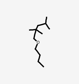 CCCCOCC(C)(C)CC(C)C